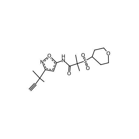 C#CC(C)(C)c1cc(NC(=O)C(C)(C)S(=O)(=O)C2CCOCC2)on1